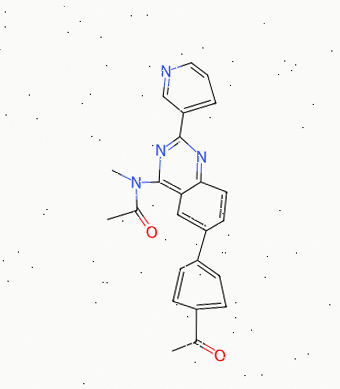 CC(=O)c1ccc(-c2ccc3nc(-c4cccnc4)nc(N(C)C(C)=O)c3c2)cc1